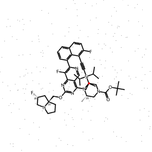 CC(C)[Si](C#Cc1c(F)ccc2cccc(-c3ncc4c(N5CCN(C(=O)OC(C)(C)C)C[C@@H]5C)nc(OC[C@@]56CCCN5C[C@H](F)C6)nc4c3F)c12)(C(C)C)C(C)C